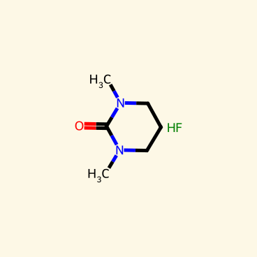 CN1CCCN(C)C1=O.F